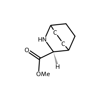 COC(=O)[C@H]1NC2CCC1CC2